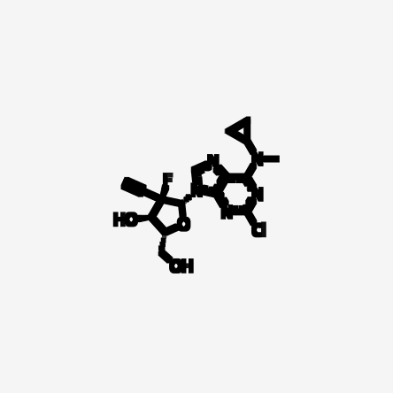 C#C[C@@]1(F)[C@H](O)[C@@H](CO)O[C@H]1n1cnc2c(N(C)C3CC3)nc(Cl)nc21